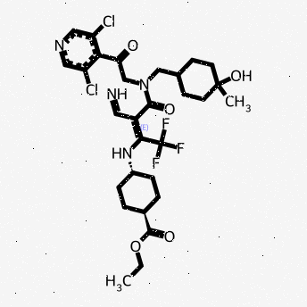 CCOC(=O)[C@H]1CC[C@H](N/C(=C(\C=N)C(=O)N(CC(=O)c2c(Cl)cncc2Cl)CC2CCC(C)(O)CC2)C(F)(F)F)CC1